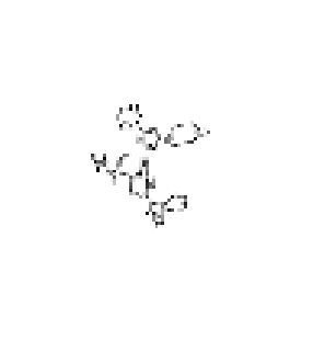 Cc1cc(-c2c[nH]c3ccccc23)nn1-c1cc(N2CCOCC2)nc(C2COCCO2)n1